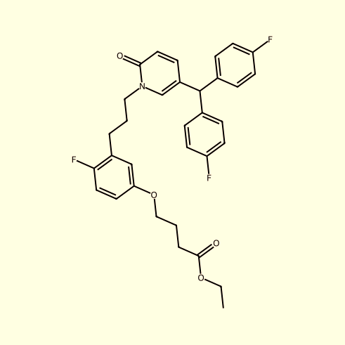 CCOC(=O)CCCOc1ccc(F)c(CCCn2cc(C(c3ccc(F)cc3)c3ccc(F)cc3)ccc2=O)c1